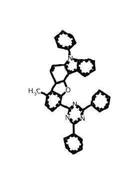 Cc1ccc(-c2nc(-c3ccccc3)nc(-c3ccccc3)n2)c2c1C1C=Cc3c(c4ccccc4n3-c3ccccc3)C1O2